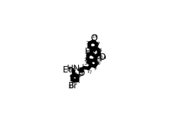 CCC(NC(=O)C[C@@H](C)C1CC[C@H]2C3C(=O)CC4CC(=O)CCC4(C)[C@H]3CCC12C)c1ccc(Br)s1